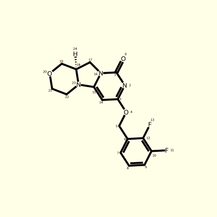 O=c1nc(OCc2cccc(F)c2F)cc2n1C[C@@H]1COCCN21